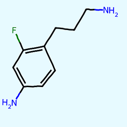 NCCCc1ccc(N)cc1F